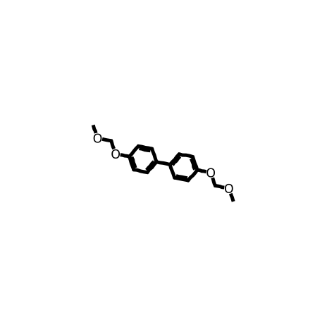 COCOc1ccc(-c2ccc(OCOC)cc2)cc1